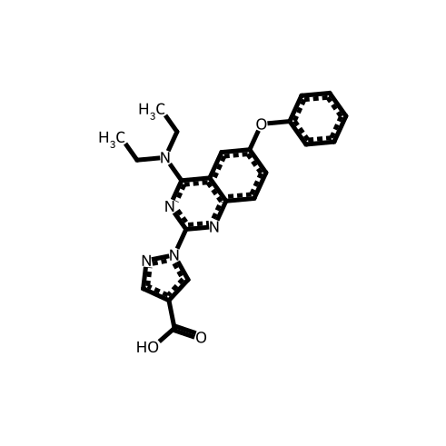 CCN(CC)c1nc(-n2cc(C(=O)O)cn2)nc2ccc(Oc3ccccc3)cc12